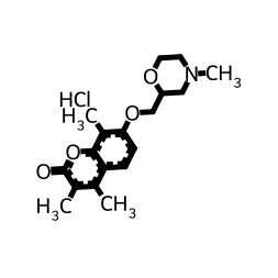 Cc1c(C)c2ccc(OCC3CN(C)CCO3)c(C)c2oc1=O.Cl